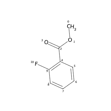 COC(=O)c1ccc[c]c1F